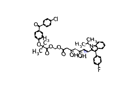 CC(C)n1c(/C=C/[C@H](O)C[C@H](O)CC(=O)OCOC(=O)C(C)(C)Oc2ccc(C(=O)c3ccc(Cl)cc3)cc2)c(-c2ccc(F)cc2)c2ccccc21